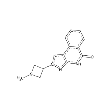 CN1CC(n2cc3c(n2)[nH]c(=O)c2ccccc23)C1